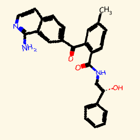 Cc1ccc(C(=O)NC[C@H](O)c2ccccc2)c(C(=O)c2ccc3ccnc(N)c3c2)c1